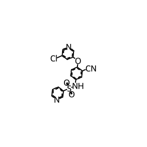 N#Cc1cc(NS(=O)(=O)c2cccnc2)ccc1Oc1cncc(Cl)c1